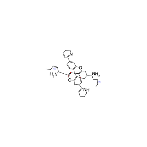 C/C=C\CC(N)C1CCC2=C(C1)Oc1cc(C3=NCCC=C3)ccc1C21C2=C(CC(C(N)/C=C\CC)CC2)Oc2cc(C3=CCCCN3)ccc21